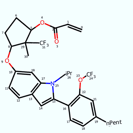 C=CC(=O)OC1CCC(Oc2ccc3cc(-c4ccc(CCCCC)cc4OC(F)(F)F)n(C(C)C)c3c2)C1(C)C(F)(F)F